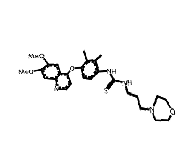 COc1cc2nccc(Oc3ccc(NC(=S)NCCCN4CCOCC4)c(C)c3C)c2cc1OC